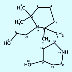 CC1(C)CCCC(C)(C)N1CCO.OC1CCNCC1